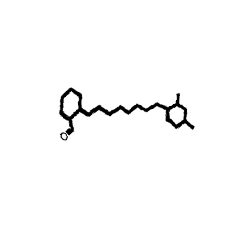 CC1CCC(CCCCCCCCC2CCCCC2C=O)C(C)C1